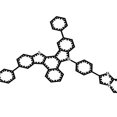 c1ccc(-c2ccc3sc4c(c3c2)c2ccccc2c2c4c3cc(-c4ccccc4)ccc3n2-c2ccc(-c3cn4ccccc4n3)cc2)cc1